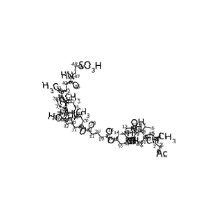 CC(=O)CC[C@H](C)[C@H]1CC[C@@H]2[C@H]3[C@H](O)CC4C[C@@H](OC(=O)CCCC(=O)O[C@@H]5CC[C@@]6(C)C(C5)C[C@H](O)[C@H]5[C@@H]7CC[C@H]([C@@H](C)CCC(=O)NCCS(=O)(=O)O)[C@@]7(C)CC[C@@H]56)CC[C@@]4(C)[C@@H]3CC[C@]21C